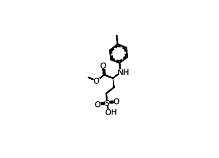 COC(=O)[C@H](CCS(=O)(=O)O)Nc1ccc(C)cc1